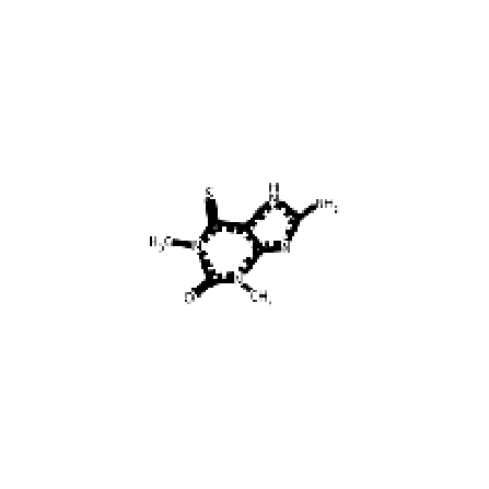 Cn1c(=S)c2[nH]c(N)nc2n(C)c1=O